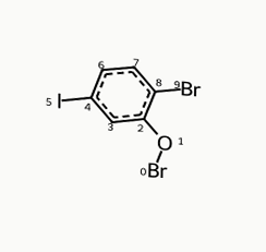 BrOc1cc(I)ccc1Br